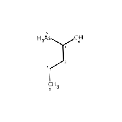 CCCC(O)[AsH2]